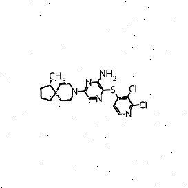 C[C@@H]1CCCC12CCN(c1cnc(Sc3ccnc(Cl)c3Cl)c(N)n1)CC2